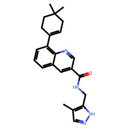 Cc1cn[nH]c1CNC(=O)c1cnc2c(C3=CCC(C)(C)CC3)cccc2c1